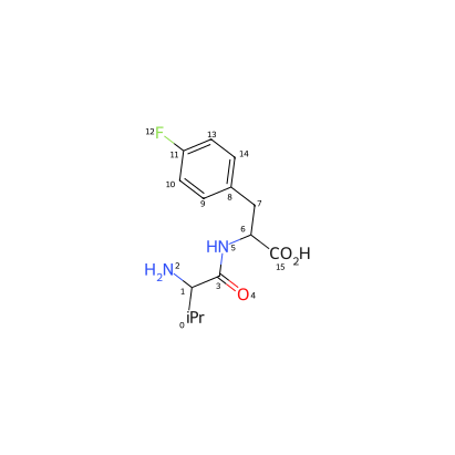 CC(C)C(N)C(=O)NC(Cc1ccc(F)cc1)C(=O)O